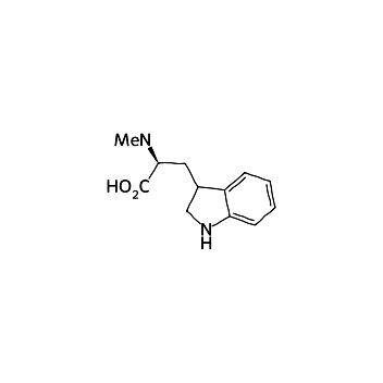 CN[C@@H](CC1CNc2ccccc21)C(=O)O